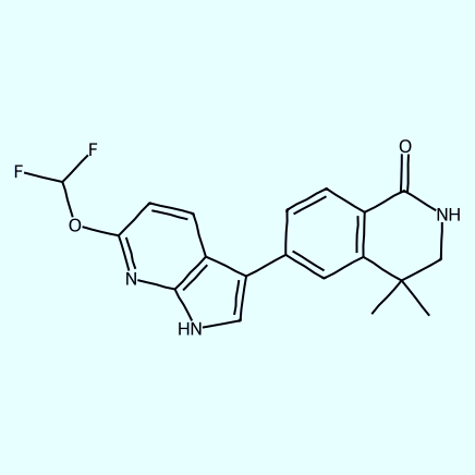 CC1(C)CNC(=O)c2ccc(-c3c[nH]c4nc(OC(F)F)ccc34)cc21